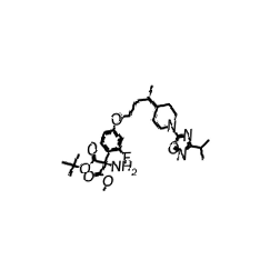 COC(=O)[C@](N)(C(=O)OC(C)(C)C)c1ccc(OCC[C@@H](C)C2CCN(c3nc(C(C)C)no3)CC2)cc1F